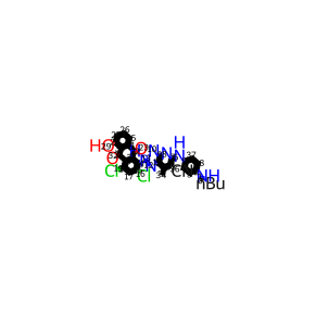 CCCCNc1ccc(Nc2nc(N)c(/N=N/c3c(Cl)cc(Cl)c4c3C(=O)c3cccc(O)c3C4=O)c(C)c2C#N)cc1